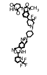 Cn1c(=O)n(C2CCC(=O)NC2=O)c2ccc(C3CCN(C[C@H]4CC[C@H](n5cc6cc(NC(=O)c7cccc(C(F)(F)F)n7)c(C#N)cc6n5)CC4)CC3(F)F)cc21